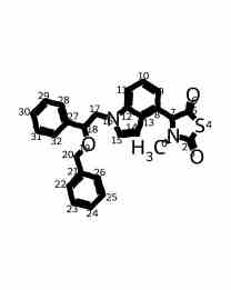 CN1C(=O)SC(=O)C1c1cccc2c1ccn2CC(OCc1ccccc1)c1ccccc1